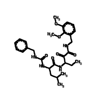 CCC(NC(=O)C(CC(C)C)NC(=O)NCc1ccccc1)C(=O)C(=O)NCc1cccc(OC)c1OC